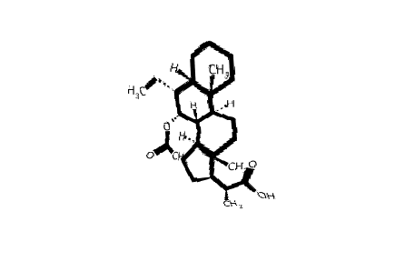 CC[C@H]1[C@@H](OC(C)=O)[C@@H]2[C@H](CC[C@]3(C)[C@@H]([C@H](C)C(=O)O)CC[C@@H]23)[C@@]2(C)CCCC[C@@H]12